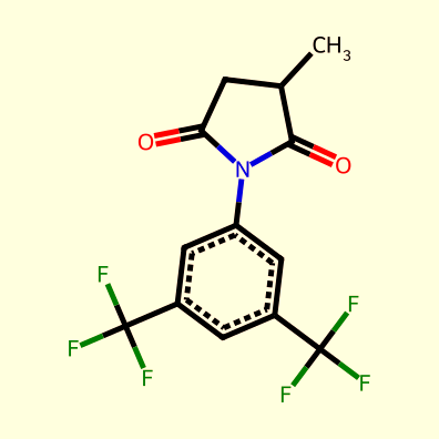 CC1CC(=O)N(c2cc(C(F)(F)F)cc(C(F)(F)F)c2)C1=O